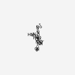 O=C(NS(=O)(=O)c1cnc(NCC2CCC(N=S3(=O)CCC3)CC2)c([N+](=O)[O-])c1)c1ccc(N2CCC3(CC2)CC(N2CCC[C@@H]2c2ccccc2C2CC2)C3)cc1Oc1cnc2[nH]ccc2c1